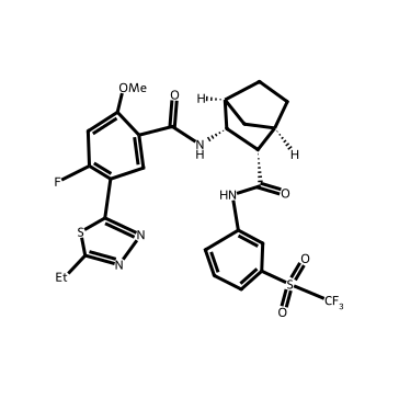 CCc1nnc(-c2cc(C(=O)N[C@@H]3[C@H]4CC[C@H](C4)[C@@H]3C(=O)Nc3cccc(S(=O)(=O)C(F)(F)F)c3)c(OC)cc2F)s1